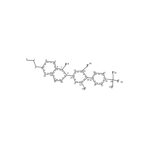 CCCc1ccc2c(F)c(-c3cc(F)c(-c4ccc(C(F)(F)F)cc4)c(F)c3)ccc2c1